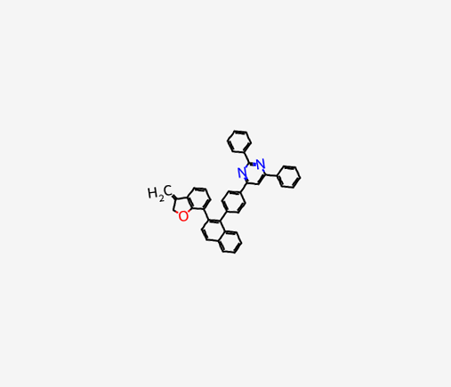 C=C1COc2c1cccc2-c1ccc2ccccc2c1-c1ccc(-c2cc(-c3ccccc3)nc(-c3ccccc3)n2)cc1